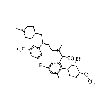 CCOC(=O)C(c1cc(F)cc(C)c1C1CCC(OC(F)(F)F)CC1)N(C)CCC(CC1CCN(C)CC1)c1cccc(C(F)(F)F)c1